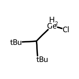 CC(C)(C)[CH]([GeH2][Cl])C(C)(C)C